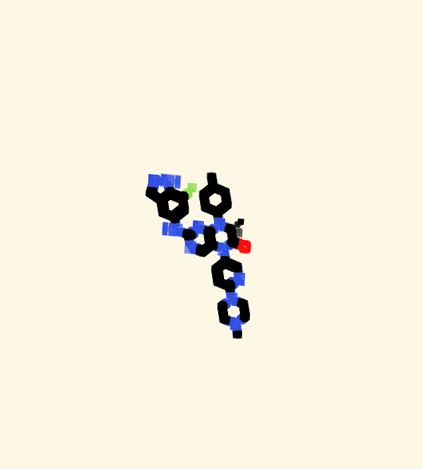 CC1CCC(N2c3nc(Nc4cc(F)c5[nH]ncc5c4)ncc3N(c3ccc(N4CCN(C)CC4)nc3)C(=O)[C@H]2C)CC1